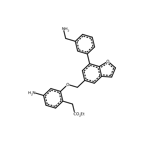 CCOC(=O)Cc1ccc(N)cc1OCc1cc(-c2cccc(CN)c2)c2occc2c1